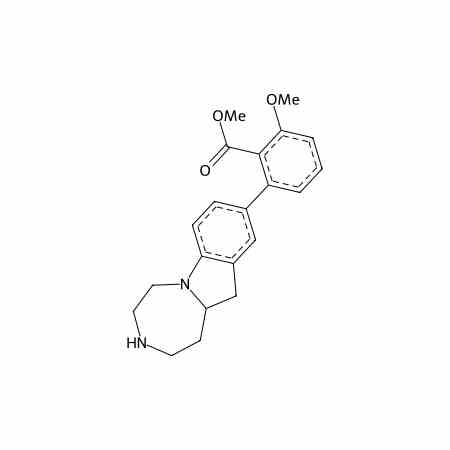 COC(=O)c1c(OC)cccc1-c1ccc2c(c1)CC1CCNCCN21